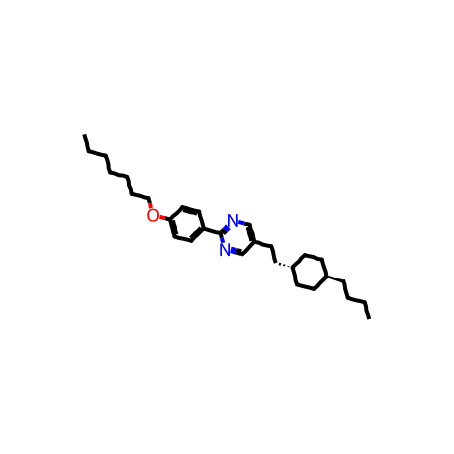 CCCCCCCOc1ccc(-c2ncc(CC[C@H]3CC[C@H](CCCC)CC3)cn2)cc1